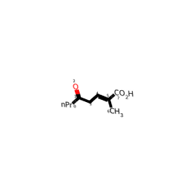 CCCC(=O)CC=C(C)C(=O)O